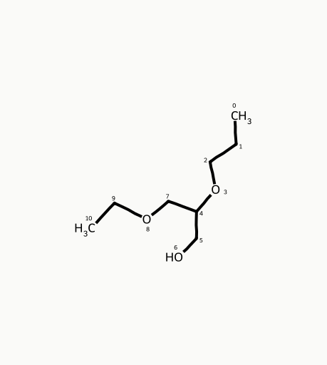 CCCOC(CO)COCC